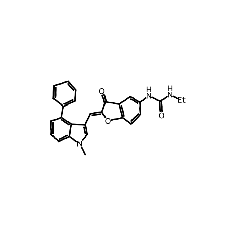 CCNC(=O)Nc1ccc2c(c1)C(=O)C(=Cc1cn(C)c3cccc(-c4ccccc4)c13)O2